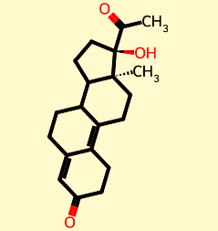 CC(=O)[C@@]1(O)CCC2C3CCC4=CC(=O)CCC4=C3CC[C@@]21C